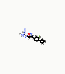 C/N=C(\NC)Nc1cc(C(C)(C)c2ccc(-c3ccccc3)c(F)c2)no1